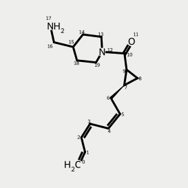 C=C/C=C\C=C/C[C@@H]1CC1C(=O)N1CCC(CN)CC1